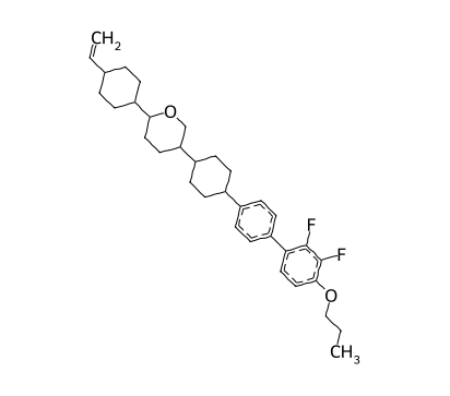 C=CC1CCC(C2CCC(C3CCC(c4ccc(-c5ccc(OCCC)c(F)c5F)cc4)CC3)CO2)CC1